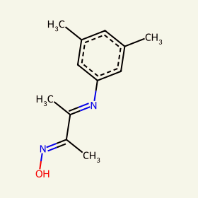 CC(=N\O)/C(C)=N/c1cc(C)cc(C)c1